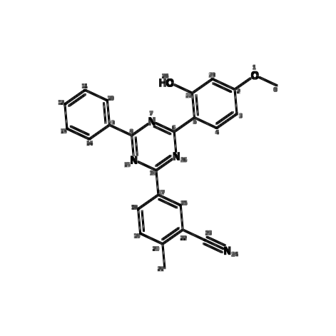 COc1ccc(-c2nc(-c3ccccc3)nc(-c3ccc(C)c(C#N)c3)n2)c(O)c1